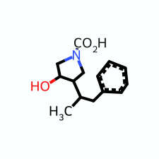 CC(Cc1ccccc1)C1CN(C(=O)O)CC1O